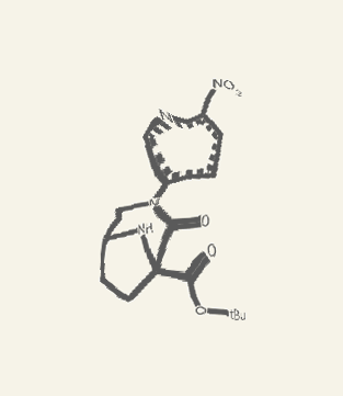 CC(C)(C)OC(=O)C12CCC(CN(c3ccc([N+](=O)[O-])nc3)C1=O)N2